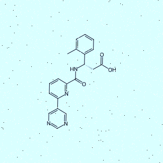 Cc1ccccc1[C@H](CC(=O)O)NC(=O)c1cccc(-c2cncnc2)n1